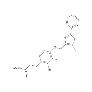 COC(=O)CCc1ccc(OCc2nc(-c3ccccc3)oc2C)c(F)c1Br